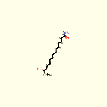 CCCCCCC(O)CCCCCCCCCCCCC(N)=O